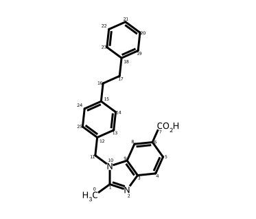 Cc1nc2ccc(C(=O)O)cc2n1Cc1ccc(CCc2ccccc2)cc1